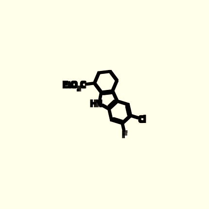 CCOC(=O)C1CCCc2c1[nH]c1cc(F)c(Cl)cc21